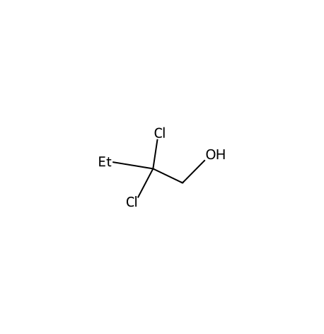 CCC(Cl)(Cl)CO